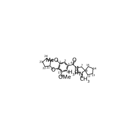 COc1cc(C(=O)NCC2(N(C)C)CCCC2)cc(OC)c1OC1CCCC1